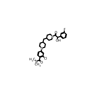 CN(C)C(=O)c1ccc(N2CCC(CC3CCN(C(=O)C(O)c4cccc(F)c4)CC3)CC2)cc1Cl